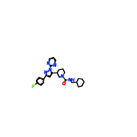 O=C(NCC1CCCCC1)N1CCCC(c2cc(-c3ccc(F)cc3)nn2-c2ncccn2)C1